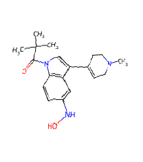 CN1CC=C(c2cn(C(=O)C(C)(C)C)c3ccc(NO)cc23)CC1